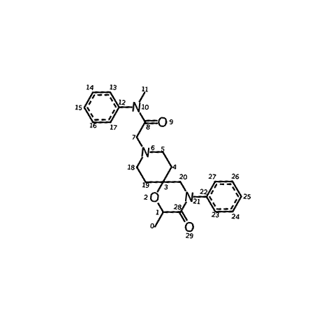 CC1OC2(CCN(CC(=O)N(C)c3ccccc3)CC2)CN(c2ccccc2)C1=O